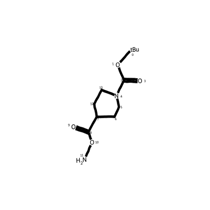 CC(C)(C)OC(=O)N1CCC(C(=O)ON)CC1